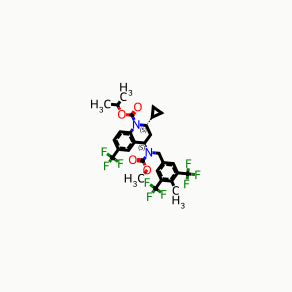 COC(=O)N(Cc1cc(C(F)(F)F)c(C)c(C(F)(F)F)c1)[C@H]1C[C@@H](C2CC2)N(C(=O)OC(C)C)c2ccc(C(F)(F)F)cc21